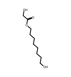 O=C(CO)OCCCCCCCCO